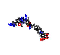 CCOc1c(-c2cn[nH]c2)ccn2nc(Nc3ccc(S(=O)(=O)NCCCC4CC5(CCN(c6ccc(C(=O)O)c(C=O)c6)CC5)C4)cc3C)nc12